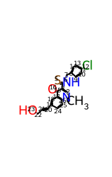 Cn1cc(C(=S)NCc2ccc(Cl)cc2)c(=O)c2cc(C#CCO)ccc21